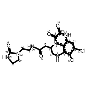 O=C(CC1CNc2c(Cl)c(Cl)cc3[nH]c(=O)c(=O)n1c23)NCCN1CCNC1=O